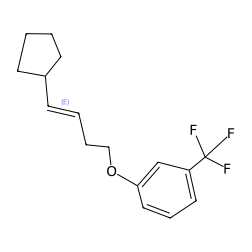 FC(F)(F)c1cccc(OCC/C=C/C2CCCC2)c1